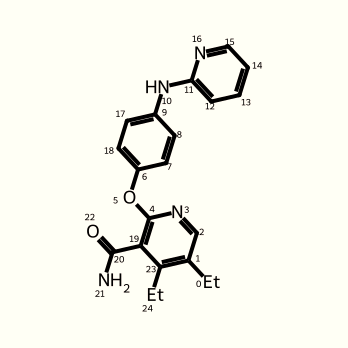 CCc1cnc(Oc2ccc(Nc3ccccn3)cc2)c(C(N)=O)c1CC